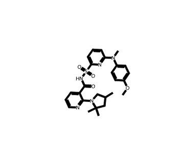 COc1ccc(N(C)c2cccc(S(=O)(=O)NC(=O)c3cccnc3N3CC(C)CC3(C)C)n2)cc1